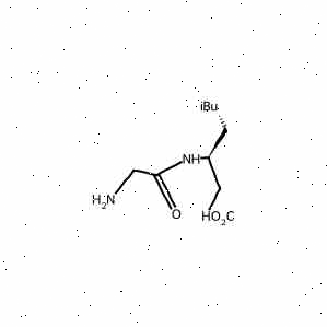 CC[C@@H](C)C[C@@H](CC(=O)O)NC(=O)CN